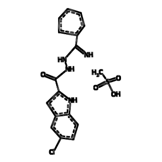 CS(=O)(=O)O.N=C(NNC(=O)c1cc2cc(Cl)ccc2[nH]1)c1ccccc1